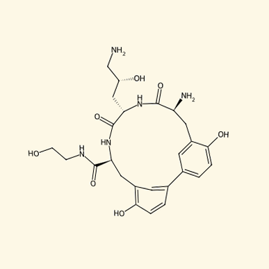 NC[C@H](O)C[C@@H]1NC(=O)[C@@H](N)Cc2cc(ccc2O)-c2ccc(O)c(c2)C[C@@H](C(=O)NCCO)NC1=O